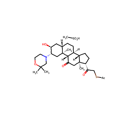 CC(=O)SCC(=O)[C@H]1CC[C@H]2[C@@H]3CC[C@H]4C[C@H](O)[C@@H](N5CCOC(C)(C)C5)C[C@]4(C)[C@H]3C(=O)C[C@]12C.CS(=O)(=O)O